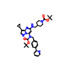 CC(C)(C)OC(=O)N1CCC(CNc2cc(N(Cc3ccc(-c4ccccn4)cc3)C(=O)OC(C)(C)C)n3ncc(C4CC4)c3n2)CC1